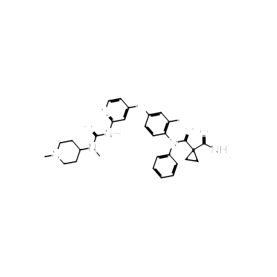 CN1CCC(N(C)C(=O)Nc2cc(Oc3ccc(N(C(=O)C4(C(N)=O)CC4)c4ccccc4)c(F)c3)ccn2)CC1